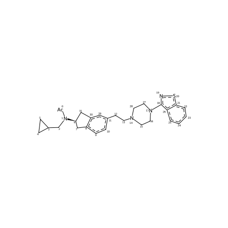 CC(=O)N(CC1CC1)[C@@H]1Cc2ccc(CCN3CCN(c4nsc5ccccc45)CC3)cc2C1